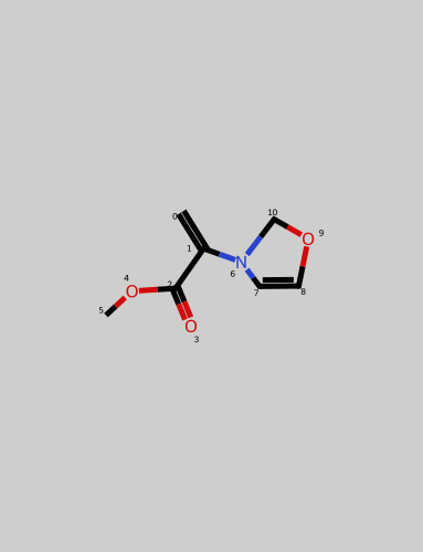 C=C(C(=O)OC)N1C=COC1